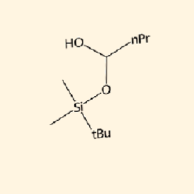 CCCC(O)O[Si](C)(C)C(C)(C)C